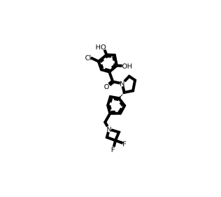 O=C(c1cc(Cl)c(O)cc1O)N1CCC[C@@H]1c1ccc(CN2CC(F)(F)C2)cc1